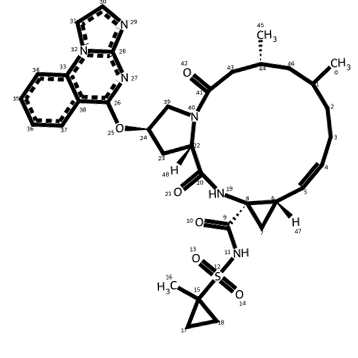 CC1CC/C=C\[C@@H]2C[C@@]2(C(=O)NS(=O)(=O)C2(C)CC2)NC(=O)[C@@H]2C[C@@H](Oc3nc4nccn4c4ccccc34)CN2C(=O)C[C@H](C)C1